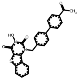 CC(=O)c1ccc(-c2ccc(Cn3c(=O)n(O)c(=O)c4sc5ccccc5c43)cc2)cc1